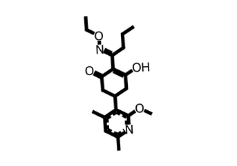 CCCC(=NOCC)C1=C(O)CC(c2c(C)cc(C)nc2OC)CC1=O